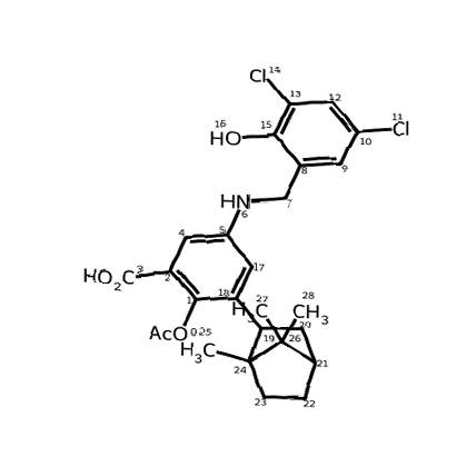 CC(=O)Oc1c(C(=O)O)cc(NCc2cc(Cl)cc(Cl)c2O)cc1C1CC2CCC1(C)C2(C)C